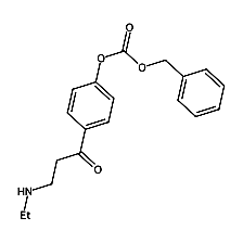 CCNCCC(=O)c1ccc(OC(=O)OCc2ccccc2)cc1